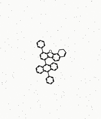 C1=Cc2ccc3c(oc4c(-c5ccccc5)ccc(-c5c6ccccc6c(-c6ccccc6)c6ccccc56)c43)c2CC1